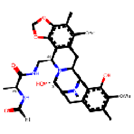 CCC(=O)N[C@@H](C)C(=O)NC[C@H]1c2c(c(OC(C)=O)c(C)c3c2OCO3)CC2C3c4c(cc(C)c(OC)c4O)CC([C@H](O)N21)N3C